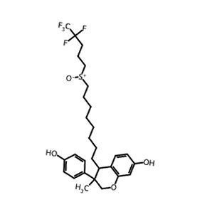 CC1(c2ccc(O)cc2)COc2cc(O)ccc2C1CCCCCCCC[S+]([O-])CCCC(F)(F)C(F)(F)F